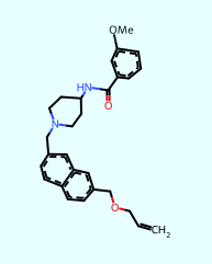 C=CCOCc1ccc2ccc(CN3CCC(NC(=O)c4cccc(OC)c4)CC3)cc2c1